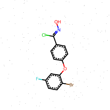 ON=C(Cl)c1ccc(Oc2cc(F)ccc2Br)cc1